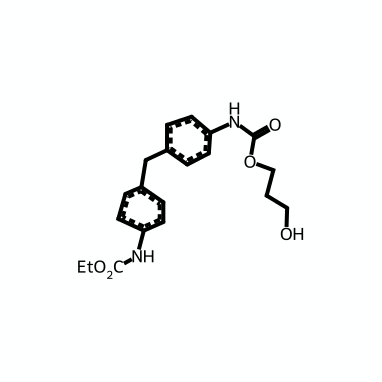 CCOC(=O)Nc1ccc(Cc2ccc(NC(=O)OCCCO)cc2)cc1